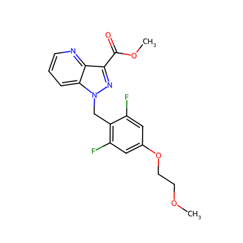 COCCOc1cc(F)c(Cn2nc(C(=O)OC)c3ncccc32)c(F)c1